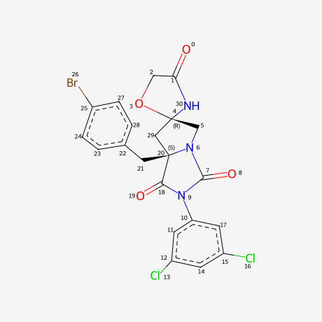 O=C1CO[C@]2(CN3C(=O)N(c4cc(Cl)cc(Cl)c4)C(=O)[C@]3(Cc3ccc(Br)cc3)C2)N1